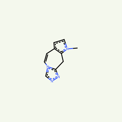 Cn1ccc2c1Cc1nncn1C=C2